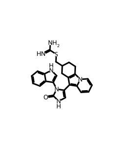 N=C(N)SCC1CCc2c(c(-c3c[nH]c(=O)n3-c3c[nH]c4ccccc34)c3ccccn23)C1